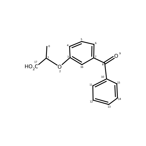 CC(Oc1cccc(C(=O)c2ccccc2)c1)C(=O)O